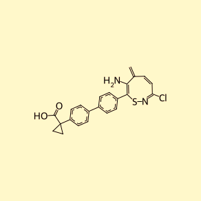 C=C1/C=C\C(Cl)=N/S/C(c2ccc(-c3ccc(C4(C(=O)O)CC4)cc3)cc2)=C\1N